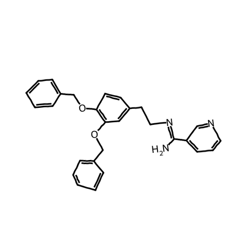 NC(=NCCc1ccc(OCc2ccccc2)c(OCc2ccccc2)c1)c1cccnc1